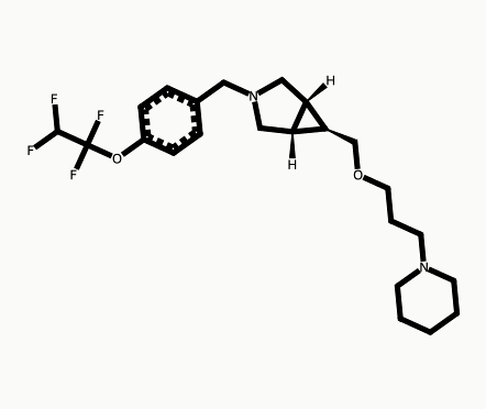 FC(F)C(F)(F)Oc1ccc(CN2C[C@@H]3[C@@H](COCCCN4CCCCC4)[C@@H]3C2)cc1